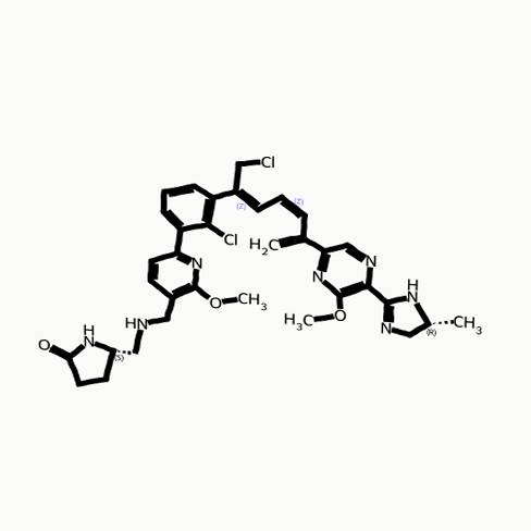 C=C(/C=C\C=C(/CCl)c1cccc(-c2ccc(CNC[C@@H]3CCC(=O)N3)c(OC)n2)c1Cl)c1cnc(C2=NC[C@@H](C)N2)c(OC)n1